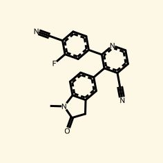 CN1C(=O)Cc2cc(-c3c(C#N)ccnc3-c3ccc(C#N)c(F)c3)ccc21